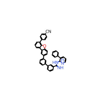 N#Cc1ccc(-c2cccc3c2oc2ccc(-c4cccc(-c5cccc(C(=N)NC6NC=CC=C6c6ccccc6)c5)c4)cc23)cc1